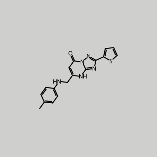 Cc1ccc(NCc2cc(=O)n3nc(-c4cccs4)nc3[nH]2)cc1